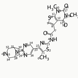 Cc1sc(NC(=O)Cc2csc3c2c(=O)n(C)c(=O)n3C)nc1-c1cnc(N2C3CCC2CNC3)nc1